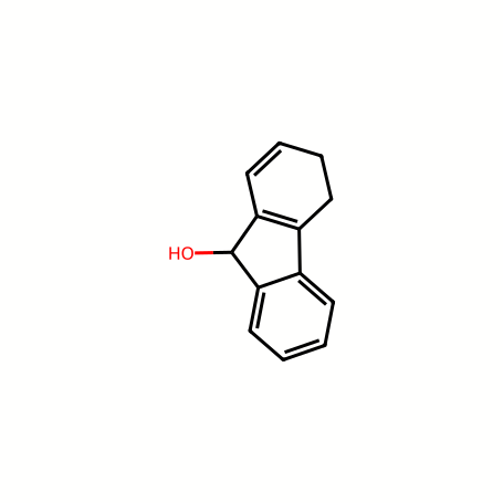 OC1C2=C(CCC=C2)c2ccccc21